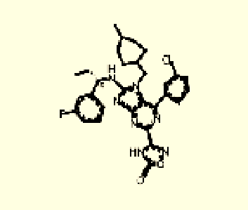 CC[C@H](Nc1nc2nc(-c3noc(=O)[nH]3)nc(-c3cccc(Cl)c3)c2n1CC1CCC(C)CC1)c1cccc(F)c1